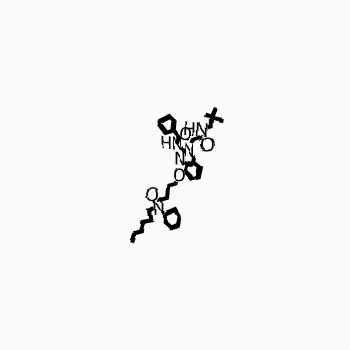 CCCCCCN(C(=O)CCCOc1cccc2c1N=C(NC(=O)c1ccccc1)N(CC(=O)NCC(C)(C)C)C2)C1CCCCC1